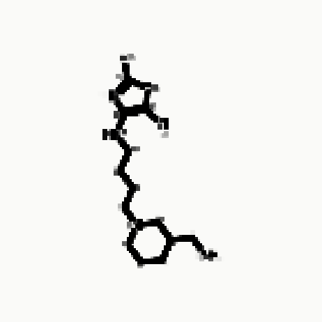 NCC1CCCN(CCCCNc2nc(F)sc2Cl)C1